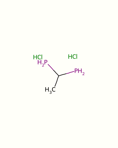 CC(P)P.Cl.Cl